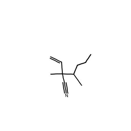 C=CC(C)(C#N)C(C)CCC